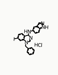 Cl.Ic1ccc2c(c1)N(Cc1ccccc1)C=NC2Nc1ccc2[nH]ncc2c1